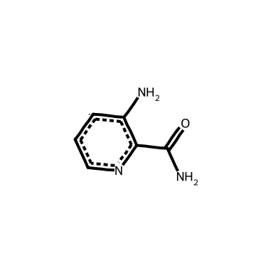 NC(=O)c1ncc[c]c1N